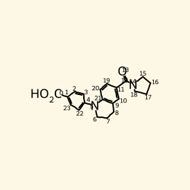 O=C(O)c1ccc(N2CCCc3cc(C(=O)N4CCCC4)ccc32)cc1